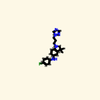 CC1(C)CN(CCCn2cncn2)c2ccc(Nc3ccc(F)cc3)cc21